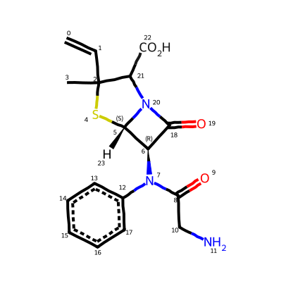 C=CC1(C)S[C@H]2[C@H](N(C(=O)CN)c3ccccc3)C(=O)N2C1C(=O)O